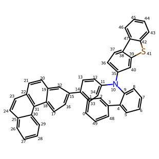 c1ccc(-c2ccccc2N(c2ccc(-c3ccc4c(ccc5ccc6ccccc6c54)c3)cc2)c2ccc3c(c2)sc2ccccc23)cc1